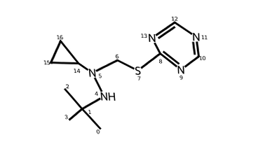 CC(C)(C)NN(CSc1ncncn1)C1CC1